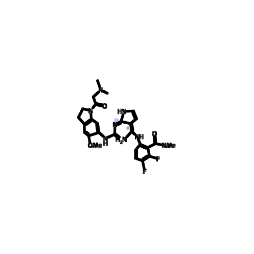 C=C(/N=C1/NC=C/C1=C(/N)Nc1ccc(F)c(F)c1C(=O)NC)Nc1cc2c(cc1OC)CCN2C(=O)CN(C)C